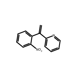 C=C(c1ccccn1)c1ccccc1[N+](=O)[O-]